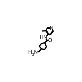 Cc1cnccc1NC(=O)C1CCC(CN)CC1